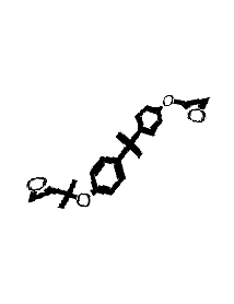 CC(C)(c1ccc(OC2CO2)cc1)c1ccc(OC(C)(C)C2CO2)cc1